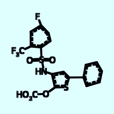 O=C(O)Oc1sc(-c2ccccc2)cc1NS(=O)(=O)c1ccc(F)cc1C(F)(F)F